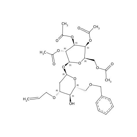 C=CCO[C@@H]1C[C@@H](O[C@@H]2O[C@H](COC(C)=O)[C@H](OC(C)=O)[C@H](OC(C)=O)[C@H]2OC(C)=O)O[C@H](COCc2ccccc2)[C@H]1O